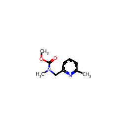 COC(=O)N(C)Cc1cccc(C)n1